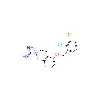 N=C(N)N1CCc2c(cccc2OCc2cccc(Cl)c2Cl)C1